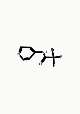 O=C(Nc1ccncc1)C(F)(F)Br